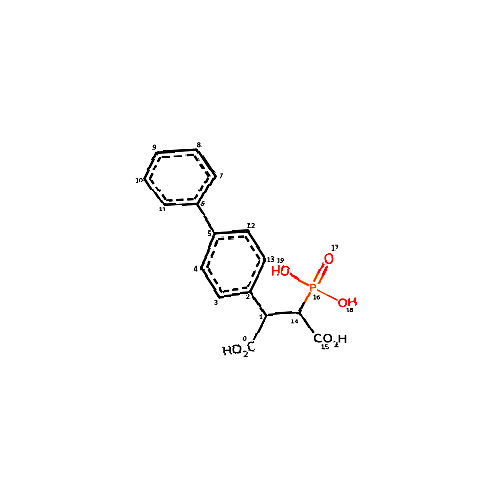 O=C(O)C(c1ccc(-c2ccccc2)cc1)C(C(=O)O)P(=O)(O)O